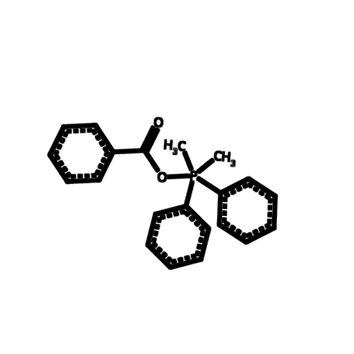 CP(C)(OC(=O)c1ccccc1)(c1ccccc1)c1ccccc1